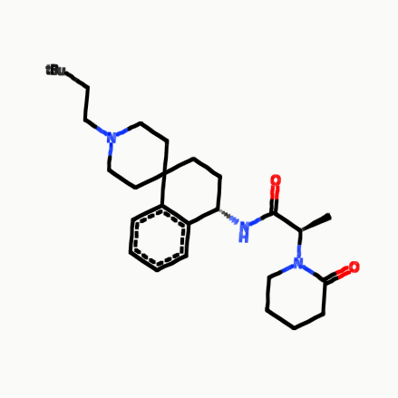 C[C@H](C(=O)N[C@H]1CCC2(CCN(CCC(C)(C)C)CC2)c2ccccc21)N1CCCCC1=O